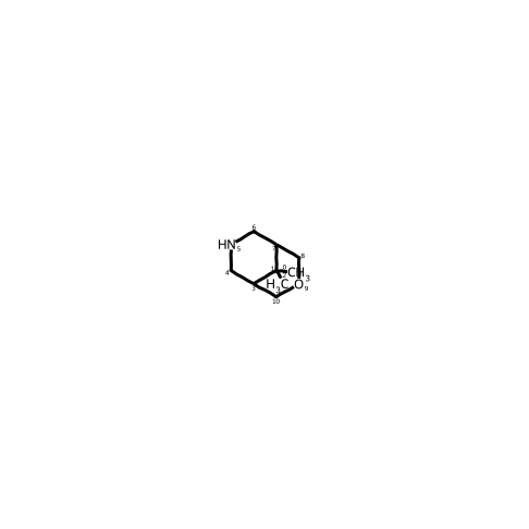 CC1(C)C2CNCC1COC2